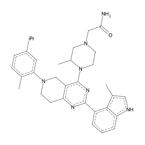 Cc1ccc(C(C)C)cc1N1CCc2nc(-c3cccc4[nH]cc(C)c34)nc(N3CCN(CC(N)=O)CC3C)c2C1